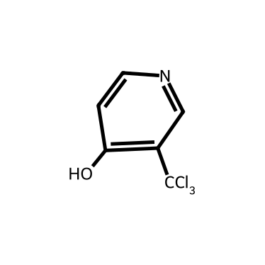 Oc1ccncc1C(Cl)(Cl)Cl